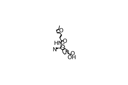 Cc1ccc(C=CC(=O)Nc2sc3c(c2C#N)CCN(C(=O)O)C3)o1